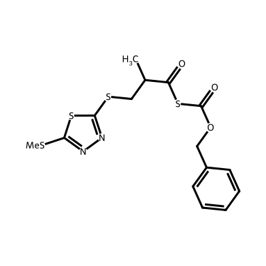 CSc1nnc(SCC(C)C(=O)SC(=O)OCc2ccccc2)s1